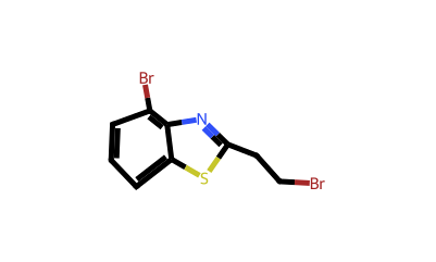 BrCCc1nc2c(Br)cccc2s1